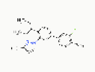 CCC(CC)c1ccc(-c2ccc(C)c(F)c2)cc1-n1ccc(C)n1